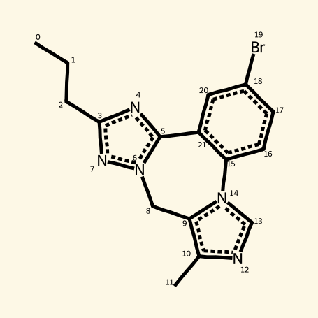 CCCc1nc2n(n1)Cc1c(C)ncn1-c1ccc(Br)cc1-2